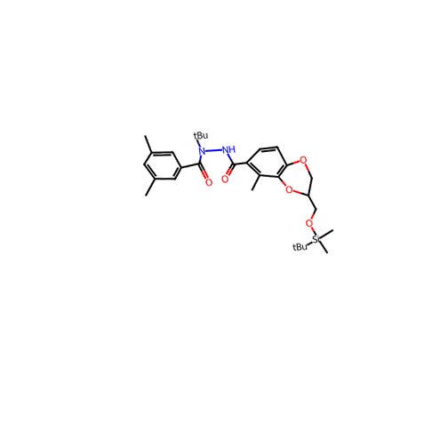 Cc1cc(C)cc(C(=O)N(NC(=O)c2ccc3c(c2C)OC(CO[Si](C)(C)C(C)(C)C)CO3)C(C)(C)C)c1